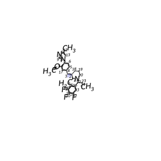 C=C1/C(=C/c2ccc(-n3cnc(C)c3)c(OC)c2)CCCN1C(CC)c1cc(F)c(F)c(F)c1